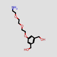 NCCOCCOCCOc1cc(CO)cc(CO)c1